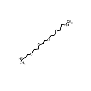 CNCCOCCOCCOCCOCCNC